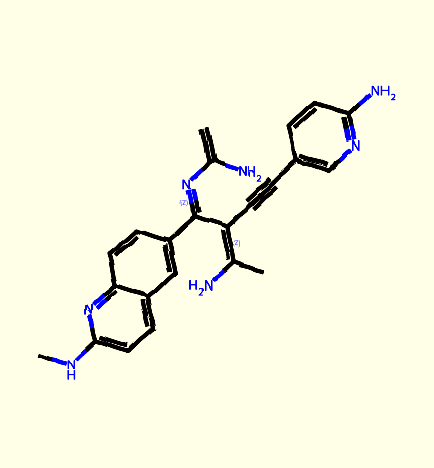 C=C(N)/N=C(\C(C#Cc1ccc(N)nc1)=C(\C)N)c1ccc2nc(NC)ccc2c1